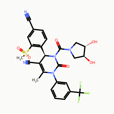 CC1=C(C#N)[C@@H](c2ccc(C#N)cc2S(C)(=O)=O)N(C(=O)N2C[C@H](O)[C@@H](O)C2)C(=O)N1c1cccc(C(F)(F)F)c1